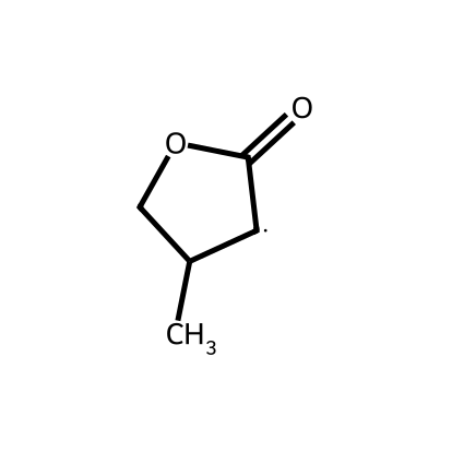 CC1[CH]C(=O)OC1